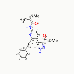 CNC(C)C(=O)Nc1ccc(-c2c[nH]nc2C(=O)OC)c(C#Cc2ccccc2)n1